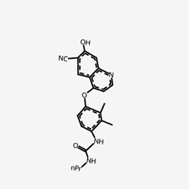 CCCNC(=O)Nc1ccc(Oc2ccnc3cc(O)c(C#N)cc23)c(C)c1C